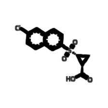 O=C(O)[C@@H]1C[C@H]1S(=O)(=O)c1ccc2cc(Cl)ccc2c1